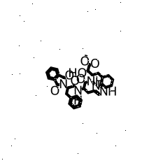 COC(=O)C(O)C(CC1CCCCC1)NC(=O)C(Cc1c[nH]cn1)NC(=O)C(Cc1ccccc1)N1C(=O)c2ccccc2C1=O